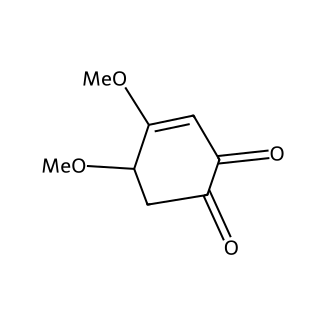 COC1=CC(=O)C(=O)CC1OC